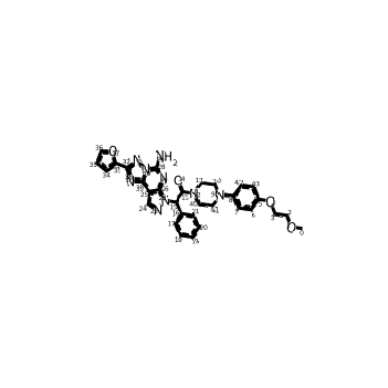 COCCOc1ccc(N2CCN(C(=O)C(c3ccccc3)n3ncc4c3nc(N)n3nc(-c5ccco5)nc43)CC2)cc1